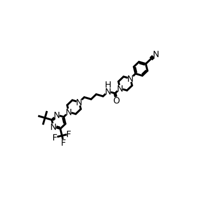 CC(C)(C)c1nc(N2CCN(CCCCNC(=O)N3CCN(c4ccc(C#N)cc4)CC3)CC2)cc(C(F)(F)F)n1